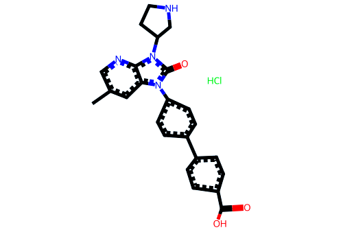 Cc1cnc2c(c1)n(-c1ccc(-c3ccc(C(=O)O)cc3)cc1)c(=O)n2C1CCNC1.Cl